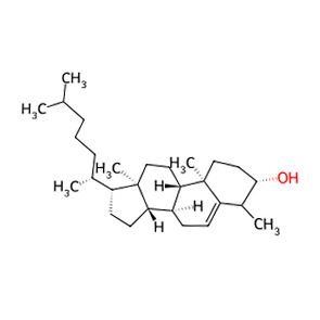 CC(C)CCC[C@@H](C)[C@H]1CC[C@H]2[C@@H]3CC=C4C(C)[C@@H](O)CC[C@]4(C)[C@H]3CC[C@]12C